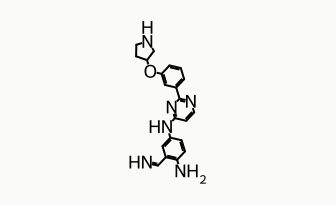 N=Cc1cc(Nc2ccnc(-c3cccc(OC4CCNC4)c3)n2)ccc1N